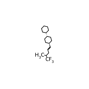 CC(CC=C[C@H]1CC[C@H](C2CCCCC2)CC1)C(F)(F)F